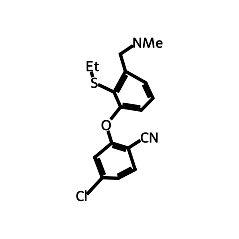 CCSc1c(CNC)cccc1Oc1cc(Cl)ccc1C#N